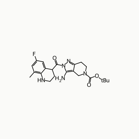 Cc1cc(F)cc2c1NCCC2C(=O)n1nc2c(c1N)CN(C(=O)OC(C)(C)C)CC2